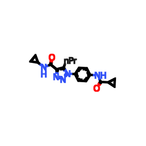 CCCc1c(C(=O)NC2CC2)nnn1-c1ccc(NC(=O)C2CC2)cc1